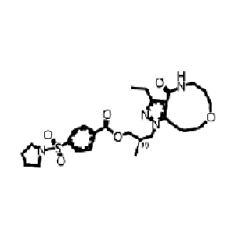 CCc1nn(C[C@@H](C)COC(=O)c2ccc(S(=O)(=O)N3CCCC3)cc2)c2c1C(=O)NCCCOCCC2